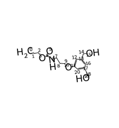 C=CCOC(=O)NCCCOc1cc(CO)cc(CO)c1